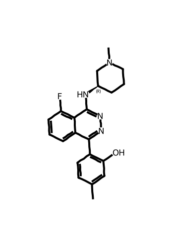 Cc1ccc(-c2nnc(N[C@@H]3CCCN(C)C3)c3c(F)cccc23)c(O)c1